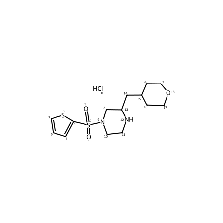 Cl.O=S(=O)(c1cccs1)N1CCNC(CC2CCOCC2)C1